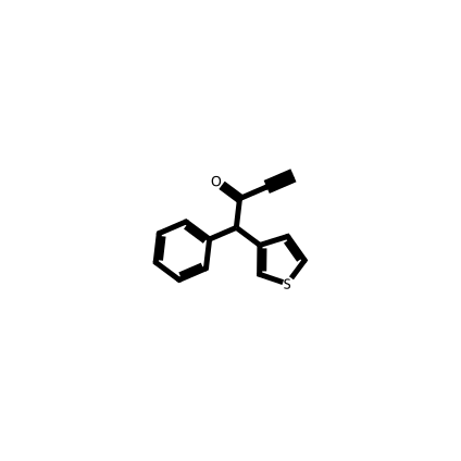 C#CC(=O)C(c1ccccc1)c1ccsc1